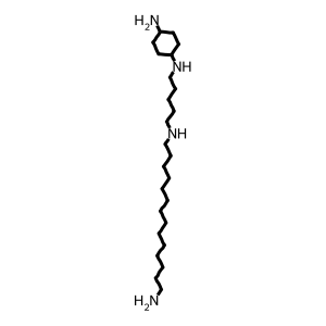 NCCCCCCCCCCCCCCNCCCCCNC1CCC(N)CC1